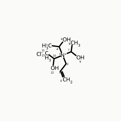 C=CC[N+](C(C)O)(C(C)O)C(C)O.[Cl-]